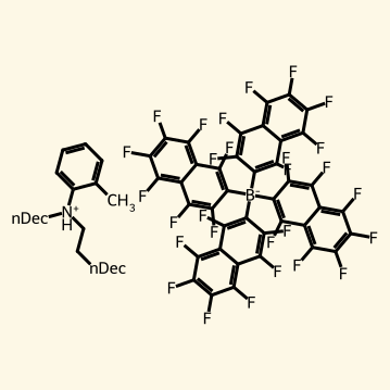 CCCCCCCCCCCC[NH+](CCCCCCCCCC)c1ccccc1C.Fc1c(F)c(F)c2c(F)c([B-](c3c(F)c(F)c4c(F)c(F)c(F)c(F)c4c3F)(c3c(F)c(F)c4c(F)c(F)c(F)c(F)c4c3F)c3c(F)c(F)c4c(F)c(F)c(F)c(F)c4c3F)c(F)c(F)c2c1F